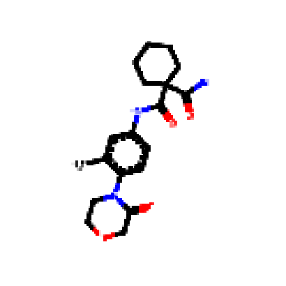 Cc1cc(NC(=O)C2(C([NH])=O)CCCCC2)ccc1N1CCOCC1=O